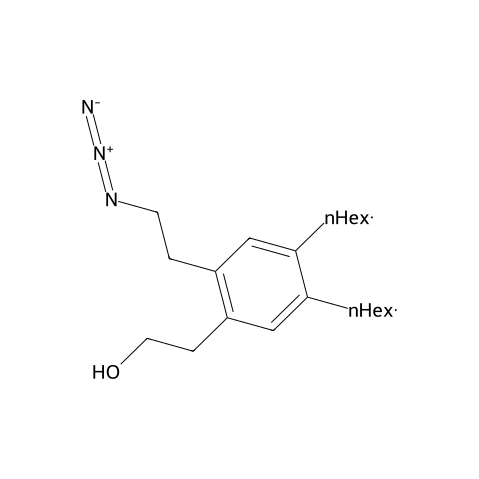 [CH2]CCCC[CH]c1cc(CCO)c(CCN=[N+]=[N-])cc1[CH]CCCC[CH2]